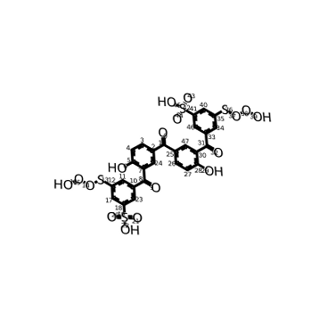 O=C(c1ccc(O)c(C(=O)c2cc(SOOO)cc(S(=O)(=O)O)c2)c1)c1ccc(O)c(C(=O)c2cc(SOOO)cc(S(=O)(=O)O)c2)c1